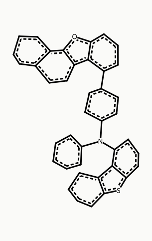 c1ccc(N(c2ccc(-c3cccc4oc5c6ccccc6ccc5c34)cc2)c2cccc3sc4ccccc4c23)cc1